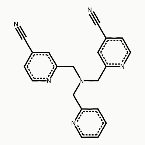 N#Cc1ccnc(CN(Cc2ccccn2)Cc2cc(C#N)ccn2)c1